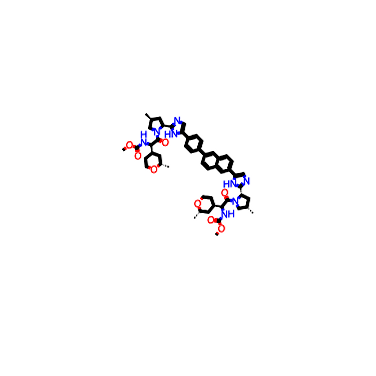 COC(=O)NC(C(=O)N1C[C@@H](C)C[C@H]1c1ncc(-c2ccc(-c3ccc4cc(-c5cnc([C@@H]6C[C@H](C)CN6C(=O)C(NC(=O)OC)[C@@H]6CCO[C@@H](C)C6)[nH]5)ccc4c3)cc2)[nH]1)[C@@H]1CCO[C@@H](C)C1